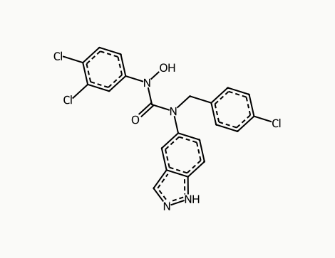 O=C(N(O)c1ccc(Cl)c(Cl)c1)N(Cc1ccc(Cl)cc1)c1ccc2[nH]ncc2c1